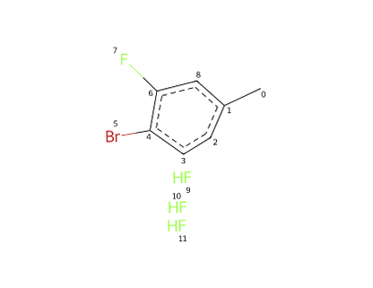 Cc1ccc(Br)c(F)c1.F.F.F